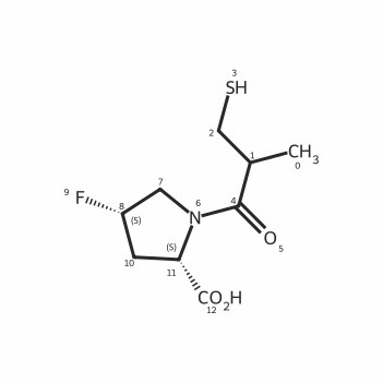 CC(CS)C(=O)N1C[C@@H](F)C[C@H]1C(=O)O